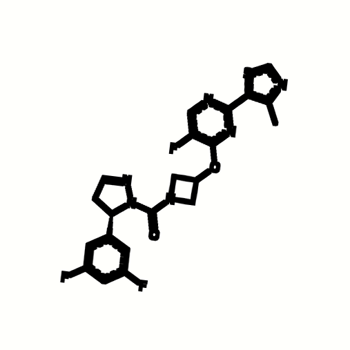 Cc1ncsc1-c1ncc(F)c(OC2CN(C(=O)N3N=CC[C@H]3c3cc(F)cc(F)c3)C2)n1